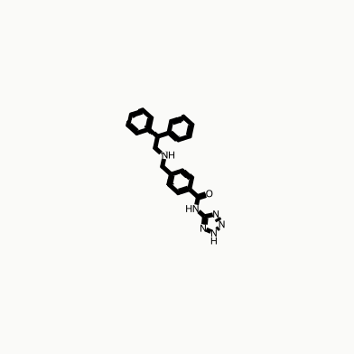 O=C(Nc1nn[nH]n1)c1ccc(CNCC(c2ccccc2)c2ccccc2)cc1